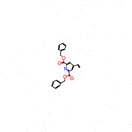 C=Cc1cc(C(=O)OCc2ccccc2)nc(C(=O)OCc2ccccc2)c1